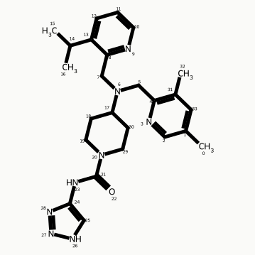 Cc1cnc(CN(Cc2ncccc2C(C)C)C2CCN(C(=O)Nc3c[nH]nn3)CC2)c(C)c1